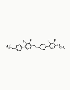 CCc1ccc(-c2ccc(CCC3CCC(c4ccc(OC)c(F)c4F)CC3)c(F)c2F)cc1